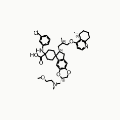 COCCN(C)C[C@H]1COc2cc3c(cc2O1)C1(CCC(Nc2cccc(Cl)c2)(C(=O)O)CC1)[C@@H](C[C@@H](C)COc1ccnc2c1[C@H](C)CCC2)C3